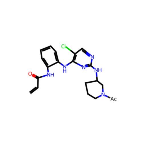 C=CC(=O)Nc1ccccc1Nc1nc(NC2CCCN(C(C)=O)C2)ncc1Cl